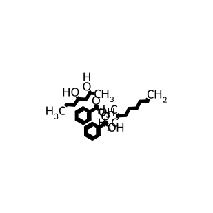 C=CCCCCC(C)C.CCCC(O)CC(C)O.O=C(O)c1ccccc1.O=C(O)c1ccccc1